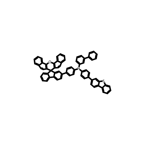 c1ccc(-c2cccc(N(c3ccc(-c4ccc5c(c4)C4(c6ccccc6-5)c5ccc6ccccc6c5Oc5c4ccc4ccccc54)cc3)c3ccc(-c4ccc5c(c4)sc4ccccc45)cc3)c2)cc1